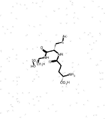 CC(=O)SC[C@H](NC(=O)CC[C@H](N)C(=O)O)C(=O)NCC(=O)O.O=S(=O)(O)O